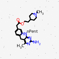 CCCCCNc1nc(N)nc(C)c1Cc1ccc(CC(=O)OCCC2CCN(C)CC2)cc1